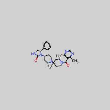 Cc1ncnc(C)c1C(=O)N1CCC(C)(N2CCC(N3C(=O)NC[C@H]3c3ccccc3)CC2)CC1